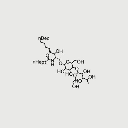 CCCCCCCCCCCCC/C=C/[C@@H](O)[C@H](COC1OC(CO)C(OC(OCCO)C(O)C(O)C(C)O)C(O)C1O)NC(=O)CCCCCCC